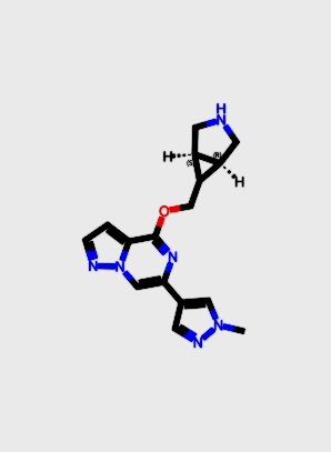 Cn1cc(-c2cn3nccc3c(OCC3[C@H]4CNC[C@@H]34)n2)cn1